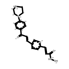 O=C(C=Cc1ccc(C=CC(=O)c2ccc(N3CCNCC3)cc2)cn1)NO